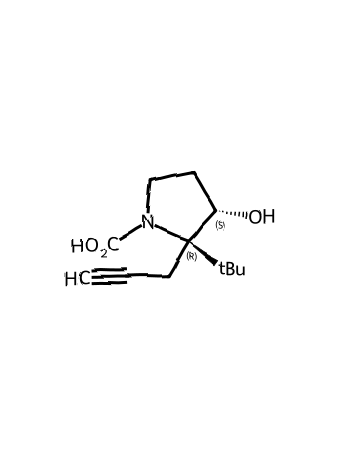 C#CC[C@@]1(C(C)(C)C)[C@@H](O)CCN1C(=O)O